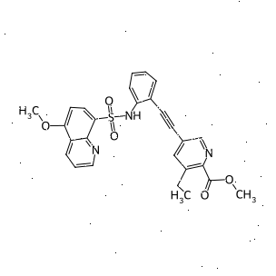 CCc1cc(C#Cc2ccccc2NS(=O)(=O)c2ccc(OC)c3cccnc23)cnc1C(=O)OC